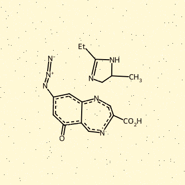 CCC1=NCC(C)N1.[N-]=[N+]=Nc1cc2ncc(C(=O)O)ncc-2c(=O)c1